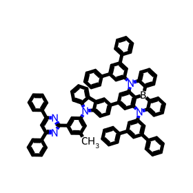 Cc1cc(-c2nc(-c3ccccc3)cc(-c3ccccc3)n2)cc(-n2c3ccccc3c3cc(-c4cc5c6c(c4)N(c4cc(-c7ccccc7)cc(-c7ccccc7)c4)c4ccccc4B6c4ccccc4N5c4cc(-c5ccccc5)cc(-c5ccccc5)c4)ccc32)c1